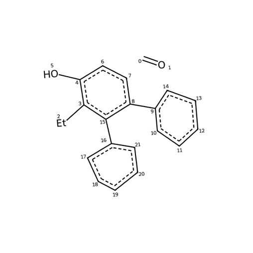 C=O.CCc1c(O)ccc(-c2ccccc2)c1-c1ccccc1